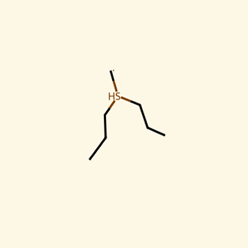 [CH2][SH](CCC)CCC